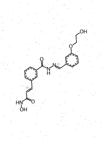 O=C(/C=C/c1cccc(C(=O)N/N=C/c2cccc(OCCO)c2)c1)NO